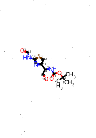 CC(C)(C)OC(=O)NC([C]=O)c1csc(NC=O)n1